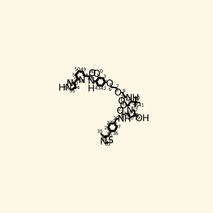 COc1cc(OCCOCC(=O)NC(C(=O)N2C[C@H](O)C[C@H]2C(=O)NCc2ccc(-c3scnc3C)cc2)C(C)(C)C)ccc1NC(=O)c1cccc(-c2cc[nH]n2)n1